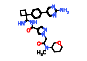 CN(C(=O)Cn1cc(C(=O)NC(=N)C2(c3ccc(-c4cnc(N)nc4)cc3)CCC2)cn1)C1CCCOC1